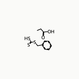 CCC(=O)O.S=C(S)SCc1ccccc1